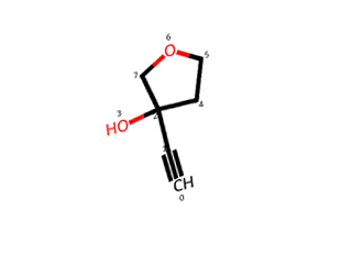 C#CC1(O)CCOC1